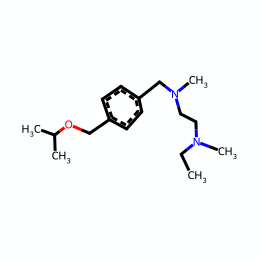 CCN(C)CCN(C)Cc1ccc(COC(C)C)cc1